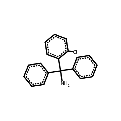 NC(c1ccccc1)(c1ccccc1)c1ccccc1Cl